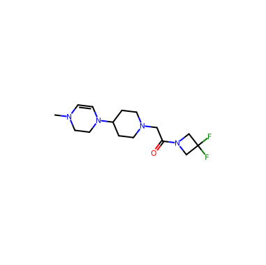 CN1C=CN(C2CCN(CC(=O)N3CC(F)(F)C3)CC2)CC1